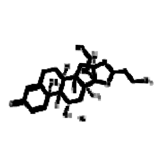 CCC[C@@H]1O[C@@H]2C[C@H]3[C@@H]4CCC5=CC(=O)C=C[C@]5(C)[C@H]4[C@@H](O)C[C@]3(C)[C@]2(C(=O)CO)O1.Cl